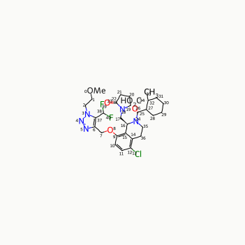 COCCn1nnc(COc2ccc(Cl)c3c2[C@@H](CN2CCCC2=O)N(C(=O)C2CCCC[C@@]2(C)C(=O)O)CC3)c1C(F)F